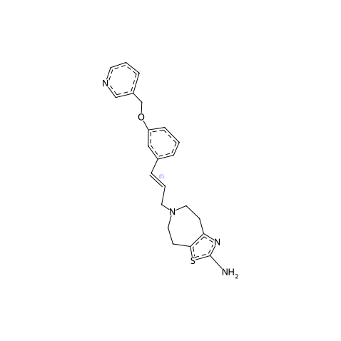 Nc1nc2c(s1)CCN(C/C=C/c1cccc(OCc3cccnc3)c1)CC2